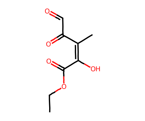 CCOC(=O)C(O)=C(C)C(=O)C=O